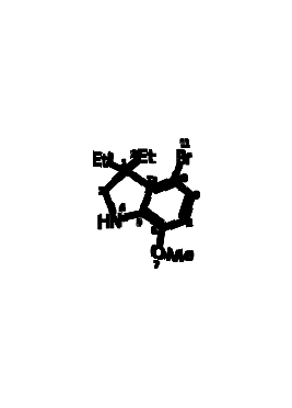 CCC1(CC)CNc2c(OC)ccc(Br)c21